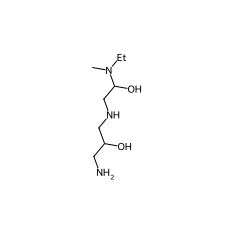 CCN(C)C(O)CNCC(O)CN